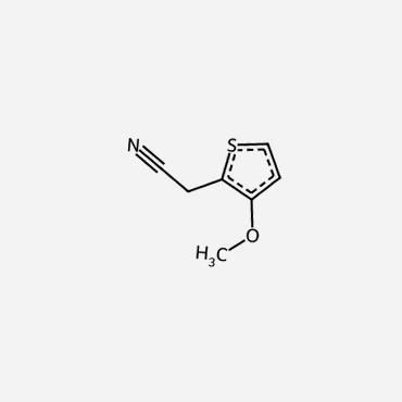 COc1ccsc1CC#N